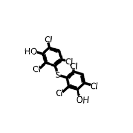 Oc1c(Cl)cc(Cl)c(Sc2c(Cl)cc(Cl)c(O)c2Cl)c1Cl